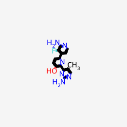 Cc1cnc(N)nc1-c1nc(-c2ccnc(N)c2F)ccc1O